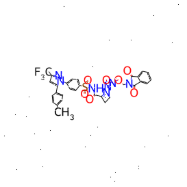 Cc1ccc(-c2cc(C(F)(F)F)nn2-c2ccc(S(=O)(=O)NC(=O)C3CCN3n3on3OCN3C(=O)c4ccccc4C3=O)cc2)cc1